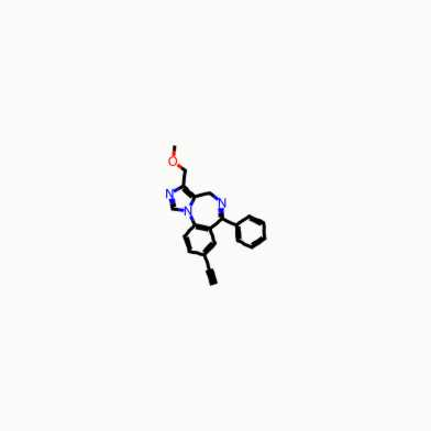 C#Cc1ccc2c(c1)C(c1ccccc1)=NCc1c(COC)ncn1-2